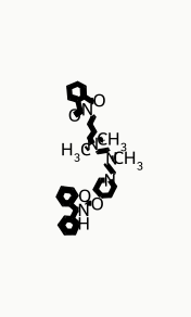 CN(CCN1CCC(OC(=O)NC(c2ccccc2)c2ccccc2)CC1)CC[N+](C)(C)CCCCN1C(=O)C2=CCCC=C2C1=O